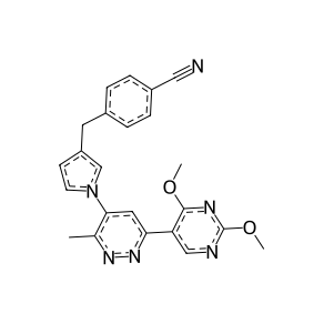 COc1ncc(-c2cc(-n3ccc(Cc4ccc(C#N)cc4)c3)c(C)nn2)c(OC)n1